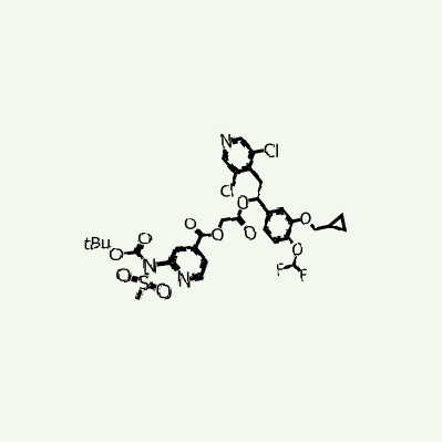 CC(C)(C)OC(=O)N(c1cc(C(=O)OCC(=O)O[C@@H](Cc2c(Cl)cncc2Cl)c2ccc(OC(F)F)c(OCC3CC3)c2)ccn1)S(C)(=O)=O